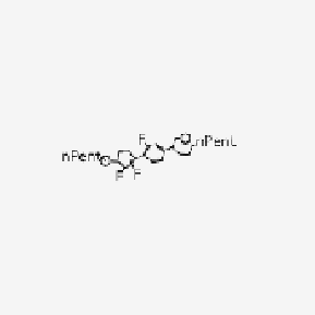 CCCCCOc1ccc(-c2ccc(C3CCC(CCCCC)OC3)cc2F)c(F)c1F